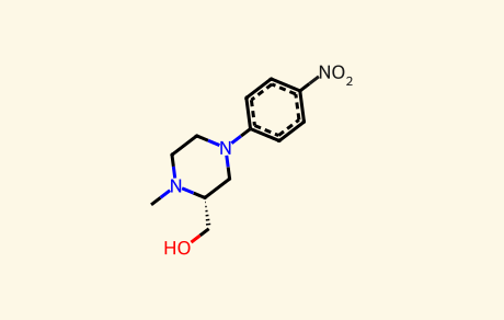 CN1CCN(c2ccc([N+](=O)[O-])cc2)C[C@@H]1CO